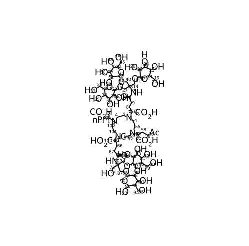 CCC[C@@H](C(=O)O)N1CCN([C@@H](CCC(=O)NC(COC2OC(CO)C(O)C(O)C2O)(COC2OC(CO)C(O)C(O)C2O)COC2OC(CO)C(O)C(O)C2O)C(=O)O)CCN([C@@H](CCC(C)=O)C(=O)O)CCN([C@@H](CCC(=O)NC(CO)(COC2OC(CO)C(O)C(O)C2O)COC2OC(O)C(CO)C(O)C2O)C(=O)O)CC1